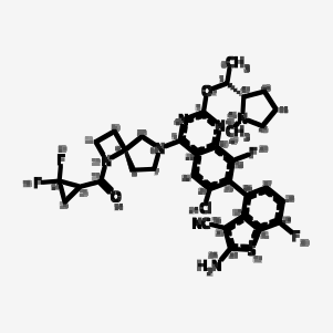 CC(Oc1nc(N2CC[C@@]3(CCN3C(=O)C3CC3(F)F)C2)c2cc(Cl)c(-c3ccc(F)c4sc(N)c(C#N)c34)c(F)c2n1)[C@@H]1CCCN1C